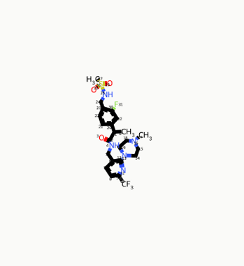 CC(C(=O)NCc1ccc(C(F)(F)F)nc1N1CCN(C)CC1)c1ccc(CNS(C)(=O)=O)c(F)c1